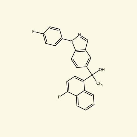 OC(c1ccc2c(cnn2-c2ccc(F)cc2)c1)(c1ccc(F)c2ccccc12)C(F)(F)F